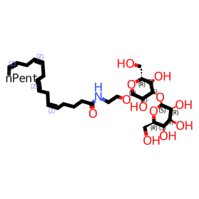 CCCCC/C=C\C/C=C\C/C=C\C/C=C\CCCC(=O)NCCO[C@@H]1O[C@H](CO)[C@@H](O)[C@H](O[C@@H]2O[C@H](CO)[C@@H](O)[C@H](O)[C@H]2O)[C@H]1O